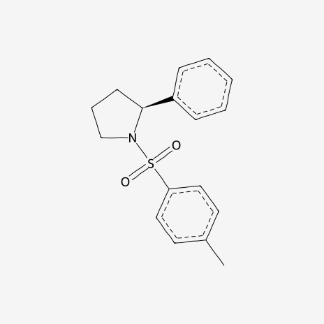 Cc1ccc(S(=O)(=O)N2CCC[C@H]2c2ccccc2)cc1